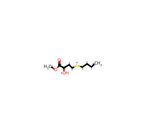 CCCCSCCC(O)C(=O)OC